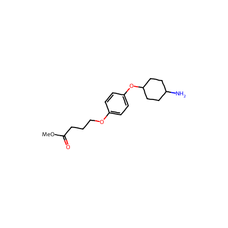 COC(=O)CCCOc1ccc(OC2CCC(N)CC2)cc1